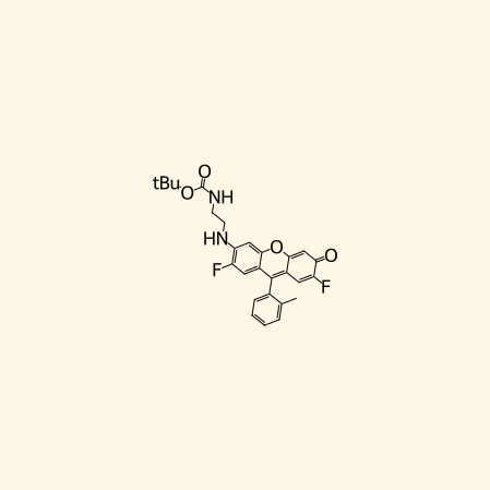 Cc1ccccc1-c1c2cc(F)c(=O)cc-2oc2cc(NCCNC(=O)OC(C)(C)C)c(F)cc12